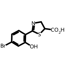 O=C(O)C1CN=C(c2ccc(Br)cc2O)S1